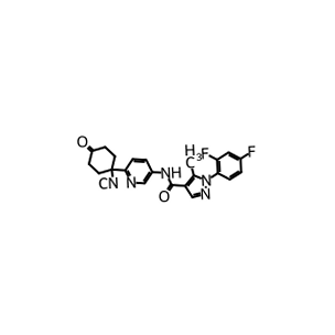 Cc1c(C(=O)Nc2ccc(C3(C#N)CCC(=O)CC3)nc2)cnn1-c1ccc(F)cc1F